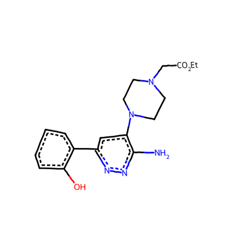 CCOC(=O)CN1CCN(c2cc(-c3ccccc3O)nnc2N)CC1